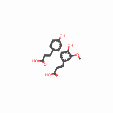 COc1cc(C=CC(=O)O)ccc1O.O=C(O)C=Cc1ccc(O)cc1